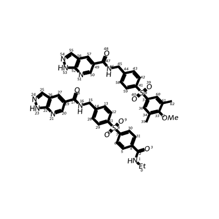 CCNC(=O)c1ccc(S(=O)(=O)c2ccc(CNC(=O)c3cnc4[nH]ncc4c3)cc2)cc1.COc1c(C)cc(S(=O)(=O)c2ccc(CNC(=O)c3cnc4[nH]ncc4c3)cc2)cc1C